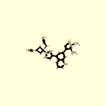 Cn1ncc(-c2cc(-c3cnn([C@]4(CC#N)C[C@H](C#N)C4)n3)c3cccnc3c2)c1N